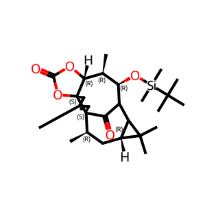 CC1=C[C@@]23C(=O)C(C4[C@@H](C[C@H]2C)C4(C)C)[C@H](O[Si](C)(C)C(C)(C)C)[C@H](C)[C@H]2OC(=O)O[C@]23C1